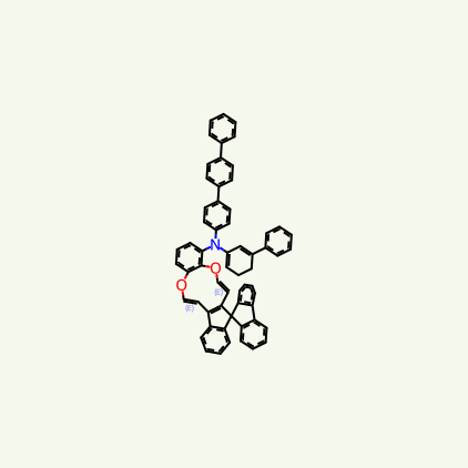 C1=C(c2ccccc2)CCC=C1N(c1ccc(-c2ccc(-c3ccccc3)cc2)cc1)c1cccc2c1O/C=C/C1=C(/C=C/O2)c2ccccc2C12c1ccccc1-c1ccccc12